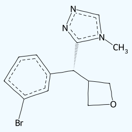 Cn1cnnc1[C@@H](c1cccc(Br)c1)C1COC1